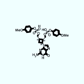 COc1ccc(OP(=O)(O)OC[C@H]2C[C@@H](n3cnc4c(=O)[nH]c(N)nc43)[C@H]2COP(=O)(O)Oc2ccc(OC)cc2)cc1